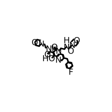 O=C(NCCN1CCOCC1)c1c(O)c2ncc(Cc3ccc(F)cc3)cc2n(CCNC(=O)N2CCOCC2)c1=O